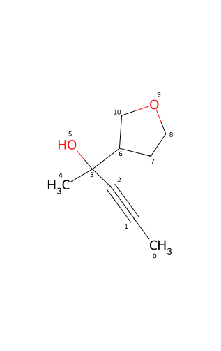 CC#CC(C)(O)C1CCOC1